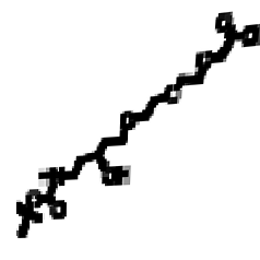 CC(C)(C)OC(=O)NCCC(O)CCOCCOCCOCC(=O)O